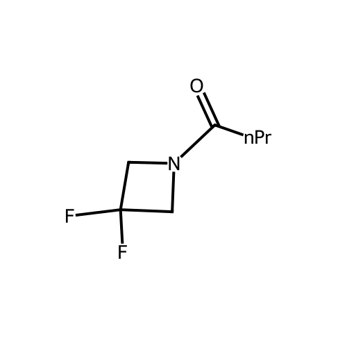 CCCC(=O)N1CC(F)(F)C1